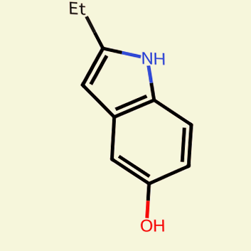 CCc1cc2cc(O)ccc2[nH]1